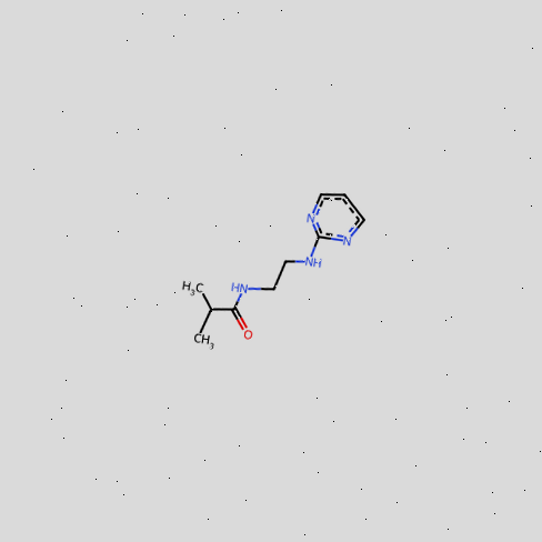 CC(C)C(=O)NCCNc1ncccn1